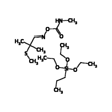 CCC[Si](OCC)(OCC)OCC.CNC(=O)O/N=C/C(C)(C)SC